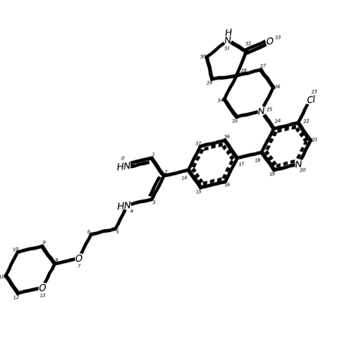 N=C/C(=C\NCCOC1CCCCO1)c1ccc(-c2cncc(Cl)c2N2CCC3(CCNC3=O)CC2)cc1